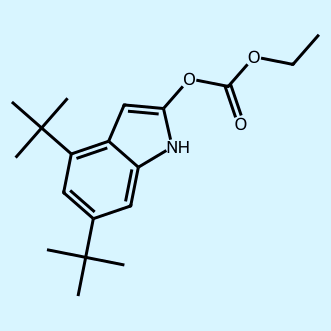 CCOC(=O)Oc1cc2c(C(C)(C)C)cc(C(C)(C)C)cc2[nH]1